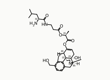 CC(C)C[C@H](N)C(=O)NCCC(=O)O[C@@H](C)C(=O)OC1=CC[C@@]2(O)[C@H]3Cc4ccc(CO)c5c4[C@@]2(CCN3C)[C@H]1O5